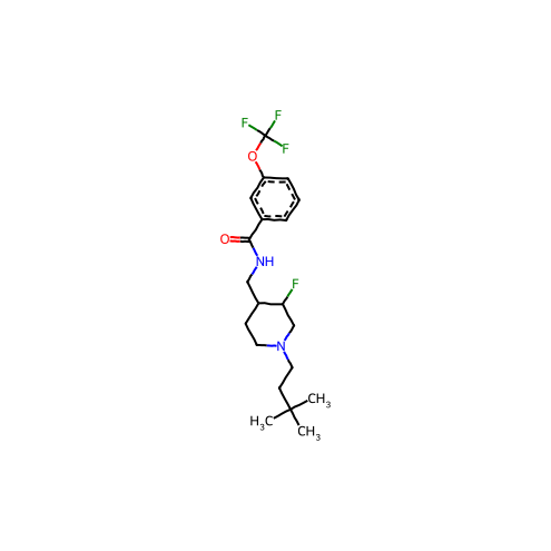 CC(C)(C)CCN1CCC(CNC(=O)c2cccc(OC(F)(F)F)c2)C(F)C1